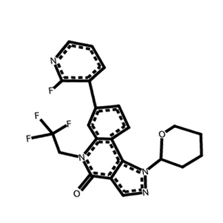 O=c1c2cnn(C3CCCCO3)c2c2ccc(-c3cccnc3F)cc2n1CC(F)(F)F